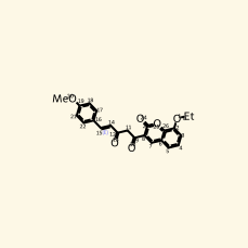 CCOc1cccc2cc(C(=O)CC(=O)/C=C/c3ccc(OC)cc3)c(=O)oc12